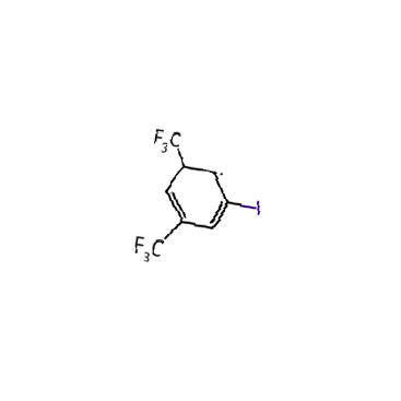 FC(F)(F)C1=CC(C(F)(F)F)[CH]C(I)=C1